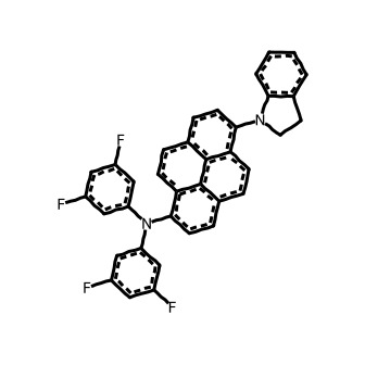 Fc1cc(F)cc(N(c2cc(F)cc(F)c2)c2ccc3ccc4c(N5CCc6ccccc65)ccc5ccc2c3c54)c1